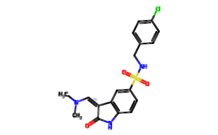 CN(C)/C=C1\C(=O)Nc2ccc(S(=O)(=O)NCc3ccc(Cl)cc3)cc21